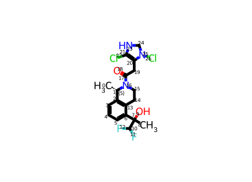 C[C@H]1c2cccc(C(C)(O)C(F)F)c2CCN1C(=O)CC1=C(Cl)NCN1Cl